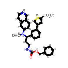 CCOC(=O)c1cc(-c2cccc(C(CCNC(=O)OCc3ccccc3)N(C=O)c3ccc4cnccc4c3)c2)cs1